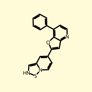 C1=CN2SNC=C2C=C1c1cc2nccc(-c3ccccc3)c2o1